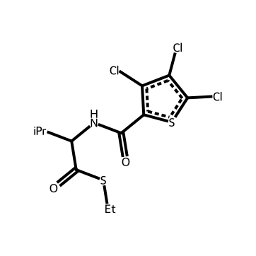 CCSC(=O)C(NC(=O)c1sc(Cl)c(Cl)c1Cl)C(C)C